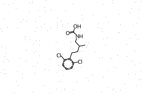 CC(CCc1c(Cl)cccc1Cl)CNC(=O)O